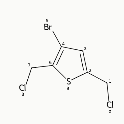 ClCc1cc(Br)c(CCl)s1